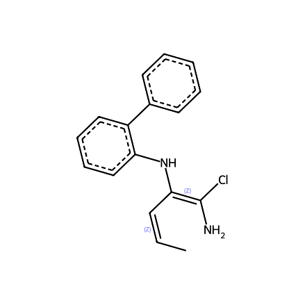 C/C=C\C(Nc1ccccc1-c1ccccc1)=C(/N)Cl